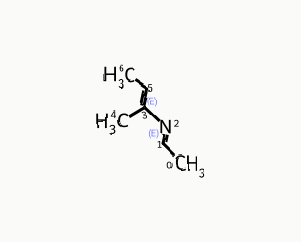 C/C=N/C(C)=C/C